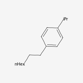 [CH2]CCCCCCCc1ccc(C(C)C)cc1